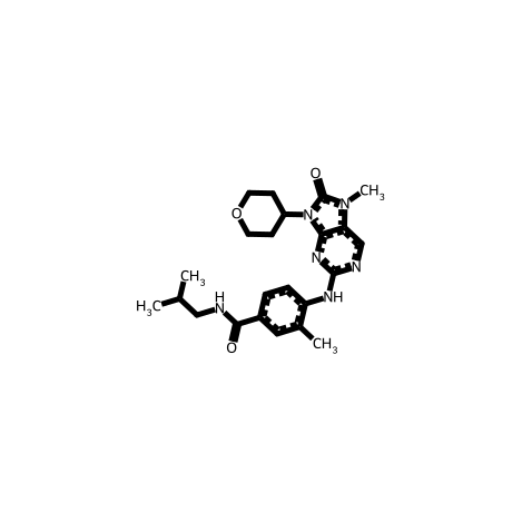 Cc1cc(C(=O)NCC(C)C)ccc1Nc1ncc2c(n1)n(C1CCOCC1)c(=O)n2C